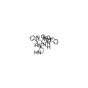 O=c1[nH]c(NC2c3ccccc3C[C@@H]2O)nc(N[C@@H]2CCCNC2)c1-c1nc2ccccc2s1